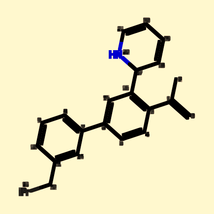 C=C(C)c1ccc(-c2cccc(CC(C)C)c2)cc1C1C=CC=CN1